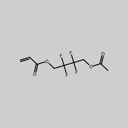 C=CC(=O)OCC(F)(F)C(F)(F)COC(C)=O